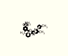 Cc1ccc(S(N)(=O)=O)cc1C(=O)N1CCCC[C@H]1c1cc2nc(N3CC[C@H](C)C3)c(C)cn2n1